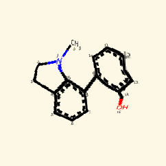 CN1CCc2cccc(-c3cc[c]cc3O)c21